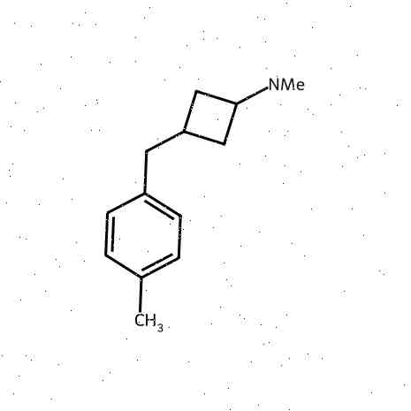 CNC1CC(Cc2ccc(C)cc2)C1